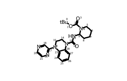 CC(C)(C)OC(=O)N1CCCCC1NC(=O)N1CCN(c2cnccn2)c2ccccc21